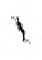 CCCCCCCCOc1ccc(-c2ccc(OC(=O)c3ccc(CCCCC)c(F)c3F)c(F)c2F)cc1